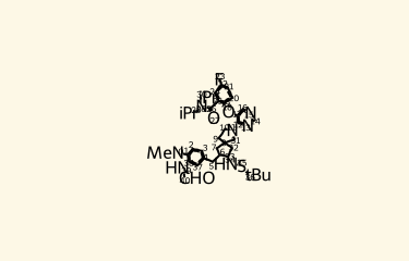 CNc1ccc(CC2CC3(CCN(c4ncncc4Oc4ccc(F)cc4C(=O)N(C(C)C)C(C)C)C3)CC2NSC(C)(C)C)cc1NC=O